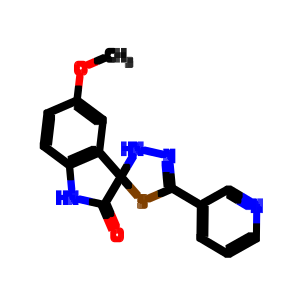 COc1ccc2c(c1)C1(NN=C(c3cccnc3)S1)C(=O)N2